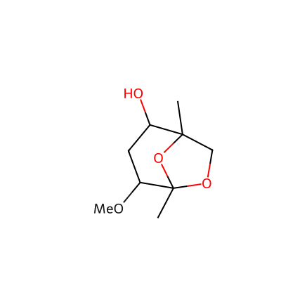 COC1CC(O)C2(C)COC1(C)O2